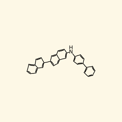 c1ccc(-c2ccc(Nc3ccc4cc(-c5ccc6ccccc6c5)ccc4c3)cc2)cc1